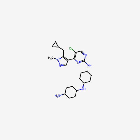 Cn1ncc(-c2nc(N[C@H]3CC[C@H](NC4CCC(N)CC4)CC3)ncc2Cl)c1CC1CC1